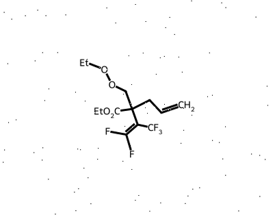 C=CCC(COOCC)(C(=O)OCC)C(=C(F)F)C(F)(F)F